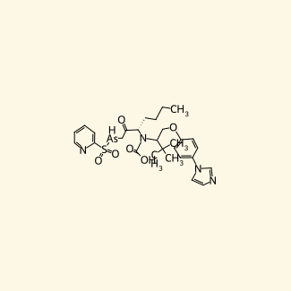 CCCC[C@@H](C(=O)C[AsH]S(=O)(=O)c1ccccn1)N(C(=O)O)C(COc1ccc(-n2ccnc2)cc1)C(C)(C)C